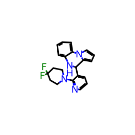 FC1(F)CCN(c2ncccc2C2Nc3ccccc3-n3cccc32)CC1